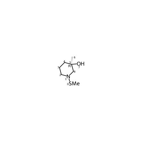 CSN1CCC[C@@](C)(O)C1